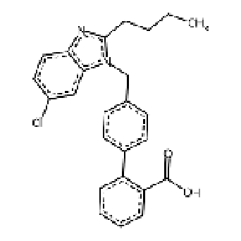 CCCCc1nc2ccc(Cl)cc2n1Cc1ccc(-c2ccccc2C(=O)O)cc1